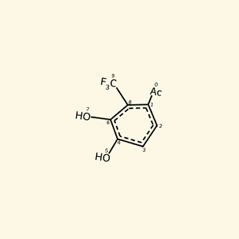 CC(=O)c1ccc(O)c(O)c1C(F)(F)F